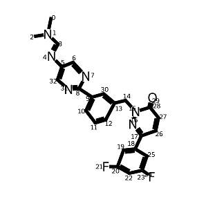 CN(C)C=Nc1cnc(-c2cccc(Cn3nc(-c4cc(F)cc(F)c4)ccc3=O)c2)nc1